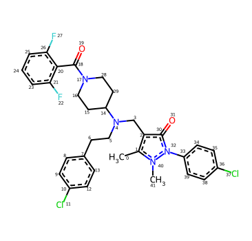 Cc1c(CN(CCc2ccc(Cl)cc2)C2CCN(C(=O)c3c(F)cccc3F)CC2)c(=O)n(-c2ccc(Cl)cc2)n1C